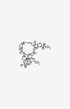 C=C[C@@H]1C[C@]1(NC(=O)[C@@H]1C[C@@H]2CN1C(=O)[C@H](C1CCCC1)NC(=O)O[C@@H]1CCC[C@H]1CC/C=C/Cn1c(nc3cc(S(C)(=O)=O)ccc3c1=O)O2)C(=O)NS(=O)(=O)C1CC1